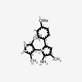 COc1ccc(-c2cc(C)c(N)n2-c2c(C)noc2C)cc1